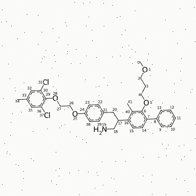 COCCCOc1c(-c2ccccc2)ccc(C(CN)Cc2ccc(OCCOc3c(Cl)cc(C)cc3Cl)cc2)c1C